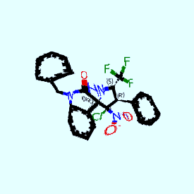 O=C1N(Cc2ccccc2)c2ccccc2[C@@]12N[C@H](C(F)(F)F)[C@@H](c1ccccc1)[C@]2(Cl)[N+](=O)[O-]